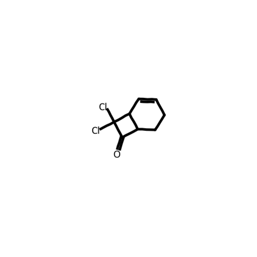 O=C1C2CCC=CC2C1(Cl)Cl